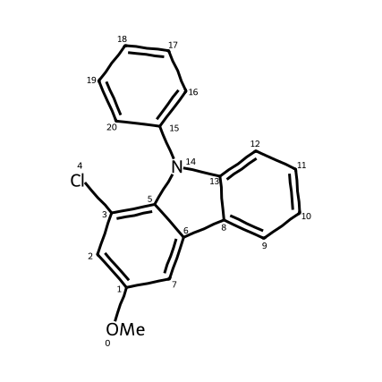 COc1cc(Cl)c2c(c1)c1ccccc1n2-c1ccccc1